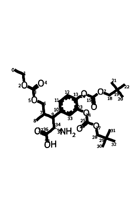 CCOC(=O)OCC(C)C(c1ccc(OC(=O)OCC(C)(C)C)c(OC(=O)OCC(C)(C)C)c1)[C@H](N)C(=O)O